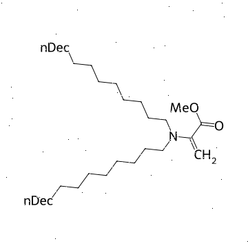 C=C(C(=O)OC)N(CCCCCCCCCCCCCCCCCC)CCCCCCCCCCCCCCCCCC